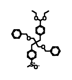 CCOC(OCC)c1ccc(CC(COCc2ccccc2)(COCc2ccccc2)Cc2ccc([S+](C)[O-])cc2)cc1